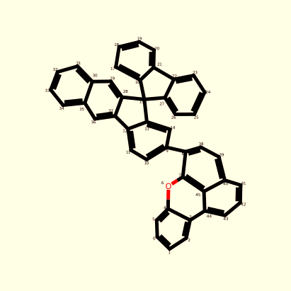 c1ccc2c(c1)Oc1c(-c3ccc4c(c3)C3(c5ccccc5-c5ccccc53)c3cc5ccccc5cc3-4)ccc3cccc-2c13